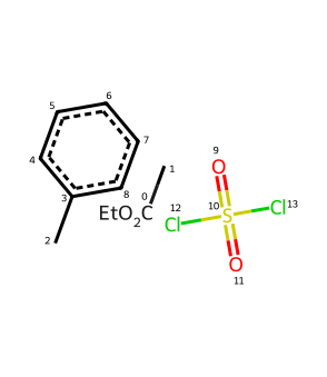 CCOC(C)=O.Cc1ccccc1.O=S(=O)(Cl)Cl